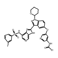 CCC(=O)Nc1cncc(Oc2ccc3c(c2)c(-c2nc4c(NS(=O)(=O)c5cccc(F)c5)cncc4[nH]2)nn3C2CCCCO2)c1